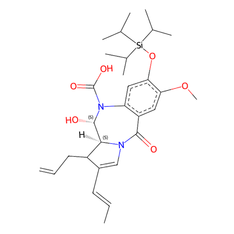 C=CCC1C(C=CC)=CN2C(=O)c3cc(OC)c(O[Si](C(C)C)(C(C)C)C(C)C)cc3N(C(=O)O)[C@@H](O)[C@H]12